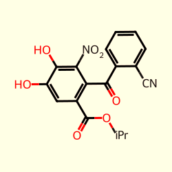 CC(C)OC(=O)c1cc(O)c(O)c([N+](=O)[O-])c1C(=O)c1ccccc1C#N